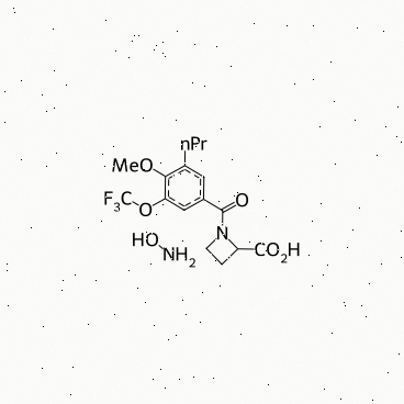 CCCc1cc(C(=O)N2CCC2C(=O)O)cc(OC(F)(F)F)c1OC.NO